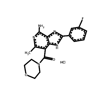 Cc1nc(N)c2nc(-c3cccc(F)c3)[nH]c2c1C(=O)N1CCOCC1.Cl